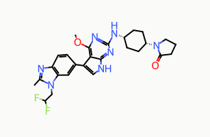 COc1nc(N[C@H]2CC[C@@H](N3CCCC3=O)CC2)nc2[nH]cc(-c3ccc4nc(C)n(CC(F)F)c4c3)c12